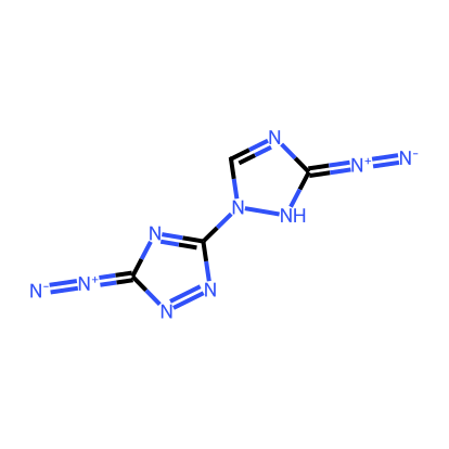 [N-]=[N+]=C1N=NC(n2cnc(=[N+]=[N-])[nH]2)=N1